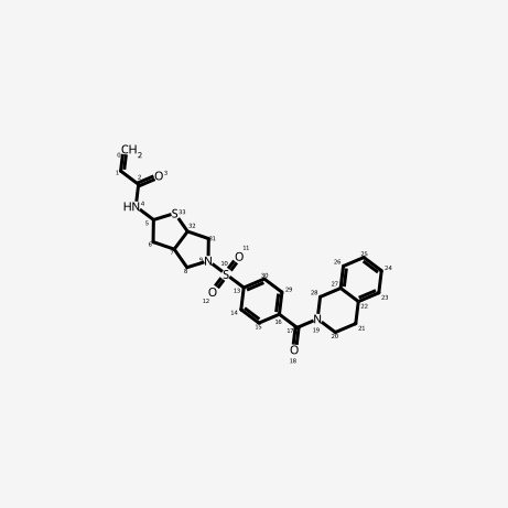 C=CC(=O)NC1CC2CN(S(=O)(=O)c3ccc(C(=O)N4CCc5ccccc5C4)cc3)CC2S1